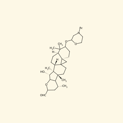 CC(=O)N1CCOC(OC2CC[C@]34CC35CC[C@]3(C)C6C(OC(C=O)C[C@H]6C)[C@H](O)[C@@]3(C)[C@@H]5CC[C@H]4C2(C)C)C1